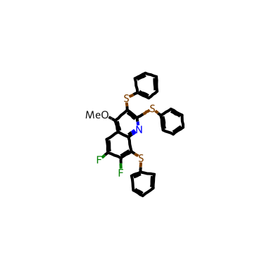 COc1c(Sc2ccccc2)c(Sc2ccccc2)nc2c(Sc3ccccc3)c(F)c(F)cc12